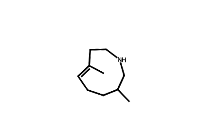 C/C1=C\CCC(C)CNCC1